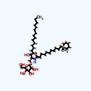 CCCCCCCCCCCCCCC[C@@H](O)[C@H](COC1OC(CO)C(O)C(O)C1O)NC(=O)CCCCCCCCCCS1(C)CCCCC1